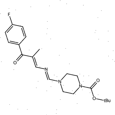 C/C(=C\N=C\N1CCN(C(=O)OC(C)(C)C)CC1)C(=O)c1ccc(F)cc1